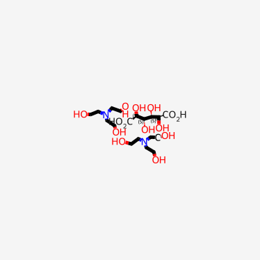 O=C(O)[C@@H](O)[C@@H](O)[C@H](O)[C@@H](O)C(=O)O.OCCN(CCO)CCO.OCCN(CCO)CCO